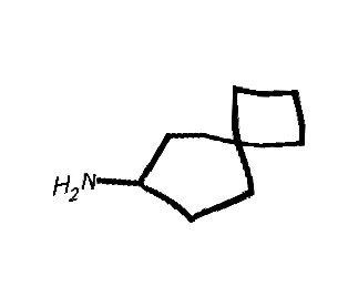 NC1CCC2(CCC2)C1